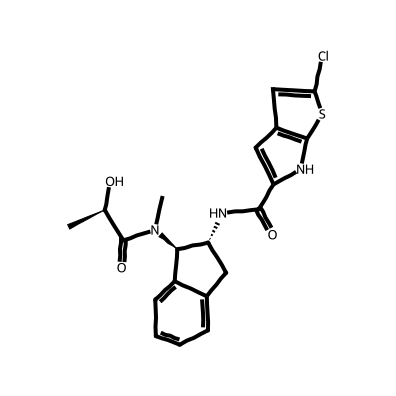 C[C@@H](O)C(=O)N(C)[C@@H]1c2ccccc2C[C@H]1NC(=O)c1cc2cc(Cl)sc2[nH]1